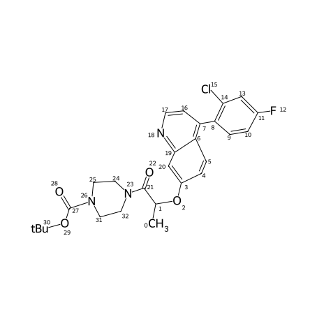 CC(Oc1ccc2c(-c3ccc(F)cc3Cl)ccnc2c1)C(=O)N1CCN(C(=O)OC(C)(C)C)CC1